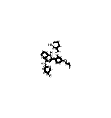 O=C(Nc1cccnc1C(=O)Nc1ccc(Cl)cn1)c1ccc(OCCF)cc1OCC1CCCNC1